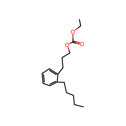 CCCCCc1ccccc1CCCOC(=O)OCC